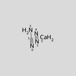 N#CN.N#N.[CaH2]